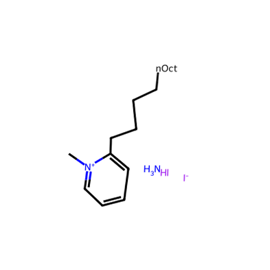 CCCCCCCCCCCCc1cccc[n+]1C.I.N.[I-]